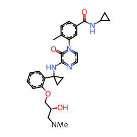 CNC[C@H](O)COc1ccccc1C1(Nc2nccn(-c3cc(C(=O)NC4CC4)ccc3C)c2=O)CC1